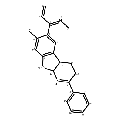 C=C/C(=N/C)c1cc2c(cc1C)OC1N=C(c3ccccc3)CCC21